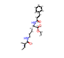 C/C=C(\C)C(=O)NCCCC[C@H](NC(=O)C=Cc1ccccc1)C(=O)OCC